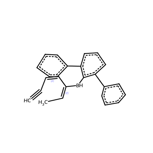 C#C/C=C\C(Bc1c(-c2ccccc2)cccc1-c1ccccc1)=C/C